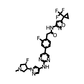 CN1CC(n2cc(Nc3ncc(-c4ccc(CC(=O)Nc5cc(C6(C(F)(F)F)CC6)on5)c(F)c4)cn3)cn2)[C@H](F)C1